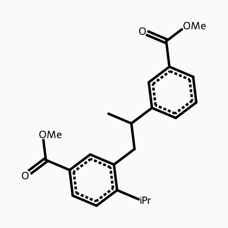 COC(=O)c1cccc(C(C)Cc2cc(C(=O)OC)ccc2C(C)C)c1